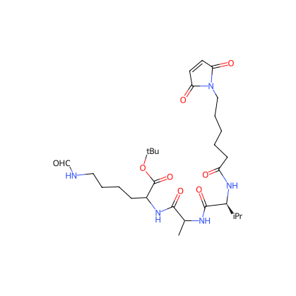 CC(NC(=O)[C@@H](NC(=O)CCCCCN1C(=O)C=CC1=O)C(C)C)C(=O)NC(CCCCNC=O)C(=O)OC(C)(C)C